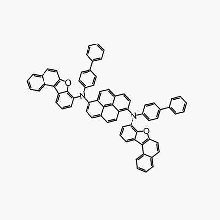 c1ccc(-c2ccc(N(c3ccc4ccc5c(N(c6ccc(-c7ccccc7)cc6)c6cccc7c6oc6ccc8ccccc8c67)ccc6ccc3c4c65)c3cccc4c3oc3ccc5ccccc5c34)cc2)cc1